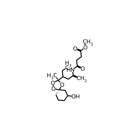 C=C(CC(CC)[C@@]1(C)OO[C@@]2(CCCC(O)C2)O1)NC(=O)CCC(=O)OC